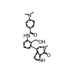 CN(C)c1ccc(C(=O)Nc2cccc(-c3cn(C)c(=O)c4[nH]ccc34)c2CO)cc1